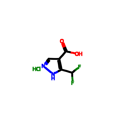 Cl.O=C(O)c1cn[nH]c1C(F)F